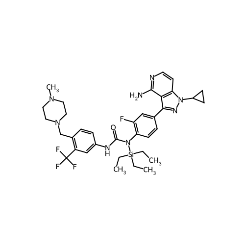 CC[Si](CC)(CC)N(C(=O)Nc1ccc(CN2CCN(C)CC2)c(C(F)(F)F)c1)c1ccc(-c2nn(C3CC3)c3ccnc(N)c23)cc1F